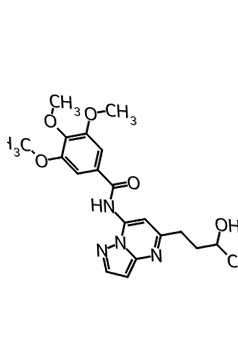 COc1cc(C(=O)Nc2cc(CCC(C)O)nc3ccnn23)cc(OC)c1OC